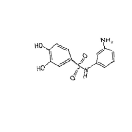 Nc1cccc(NS(=O)(=O)c2ccc(O)c(O)c2)c1